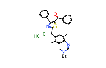 CCN(C)/C=N\c1cc(C)c(Cc2nc(-c3ccccc3)c(C(=O)c3ccccc3)s2)cc1C.Cl.Cl